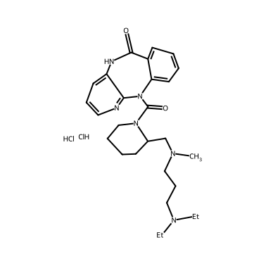 CCN(CC)CCCN(C)CC1CCCCN1C(=O)N1c2ccccc2C(=O)Nc2cccnc21.Cl.Cl